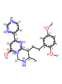 COc1ccc(OC)c(CCC2c3nc(-c4ccncn4)cc(=O)n3CNC2C)c1